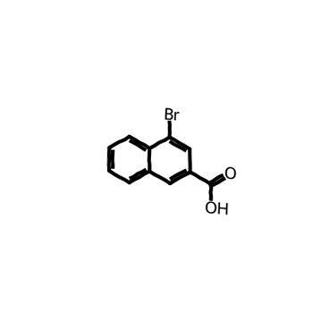 O=C(O)c1cc(Br)c2ccccc2c1